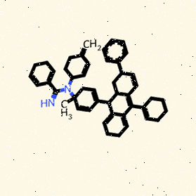 C=C1C=CC(N(C(=N)C2=CCCC=C2)C2(C)C=CC(C3C4=CCCC=C4C(C4=CCCCC4)=C4C=CC(c5ccccc5)CC43)=CC2)CC1